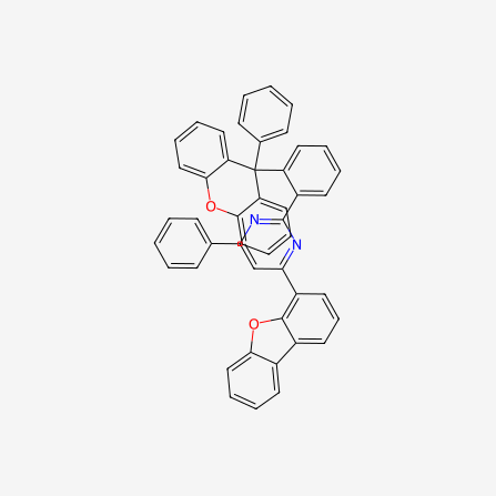 c1ccc(-c2cc(-c3cccc4c3oc3ccccc34)nc(-c3ccccc3C3(c4ccccc4)c4ccccc4Oc4ccccc43)n2)cc1